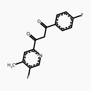 Cc1cc(C(=O)CC(=O)c2ccc(F)cc2)ncc1F